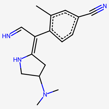 Cc1cc(C#N)ccc1/C(C=N)=C1\CC(N(C)C)CN1